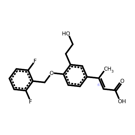 C/C(=C\C(=O)O)c1ccc(OCc2c(F)cccc2F)c(CCO)c1